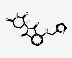 C[C@]1(N2C(=O)c3cccc(NCc4ccco4)c3C2=O)CCC(=O)NC1=O